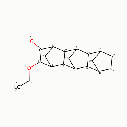 CCOC1C(O)C2CC1C1C3CC(C4C5CCC(C5)C34)C21